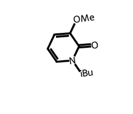 CCC(C)n1cccc(OC)c1=O